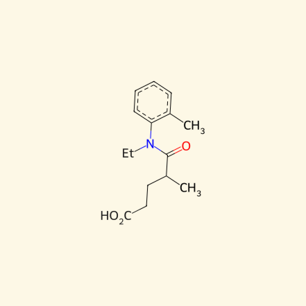 CCN(C(=O)C(C)CCC(=O)O)c1ccccc1C